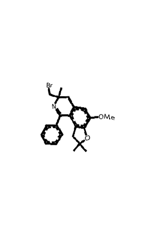 COc1cc2c(c3c1OC(C)(C)C3)C(c1ccccc1)=NC(C)(CBr)C2